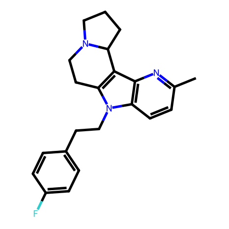 Cc1ccc2c(n1)c1c(n2CCc2ccc(F)cc2)CCN2CCCC12